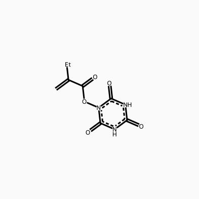 C=C(CC)C(=O)On1c(=O)[nH]c(=O)[nH]c1=O